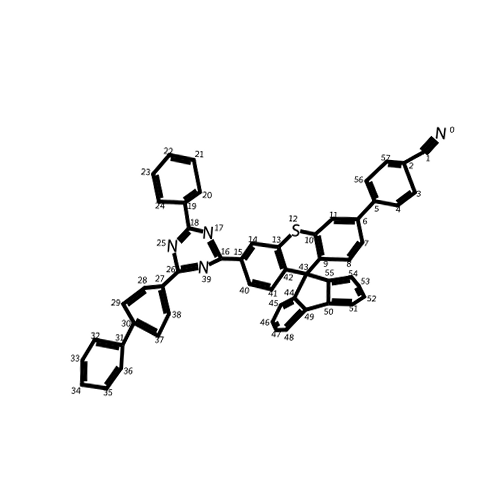 N#Cc1ccc(-c2ccc3c(c2)Sc2cc(-c4nc(-c5ccccc5)nc(-c5ccc(-c6ccccc6)cc5)n4)ccc2C32c3ccccc3-c3ccccc32)cc1